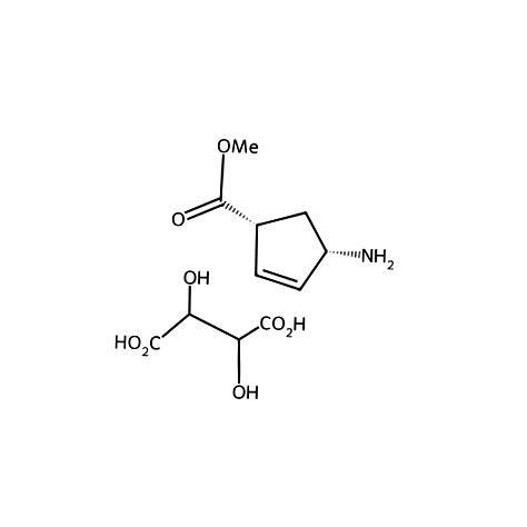 COC(=O)[C@H]1C=C[C@@H](N)C1.O=C(O)C(O)C(O)C(=O)O